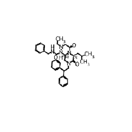 CCN1CC(=O)N2[C@@H](CC(C)C)C(=O)N(CC(c3ccccc3)c3ccccc3)C[C@@H]2N1C(=O)NCc1ccccc1